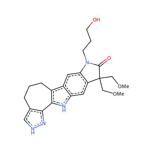 COCC1(COC)C(=O)N(CCCO)c2cc3c4c([nH]c3cc21)-c1n[nH]cc1CCC4